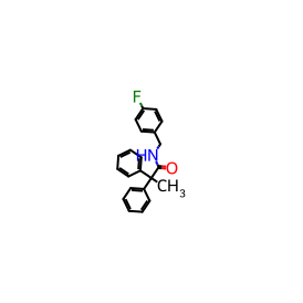 CC(C(=O)NCc1ccc(F)cc1)(c1ccccc1)c1ccccc1